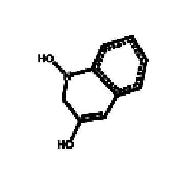 OC1=Cc2ccccc2N(O)C1